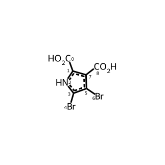 O=C(O)c1[nH]c(Br)c(Br)c1C(=O)O